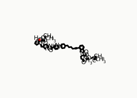 CN1CCC[C@@H]1c1cc2cnc(NC(=O)c3ccc(N4CCC(CCCCC#Cc5cccc6c5CN(C5CCC(=O)N(COCC[Si](C)(C)C)C5=O)C6=O)CC4)nc3)cc2n1C(=O)OC(C)(C)C